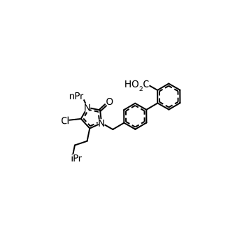 CCCn1c(Cl)c(CCC(C)C)n(Cc2ccc(-c3ccccc3C(=O)O)cc2)c1=O